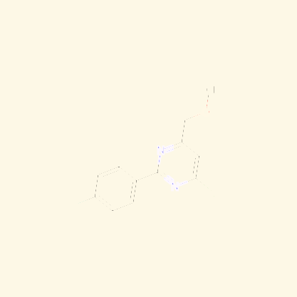 COCc1cc(Cl)nc(-c2ccc(F)cc2)n1